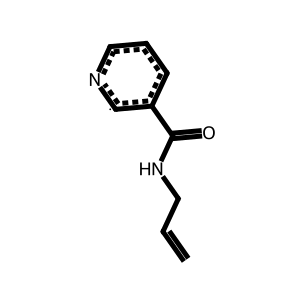 C=CCNC(=O)c1[c]nccc1